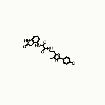 Cc1nc(-c2ccc(Cl)cc2)sc1CCNC(=O)C(=O)Nc1cccc2c1CC(=O)N2